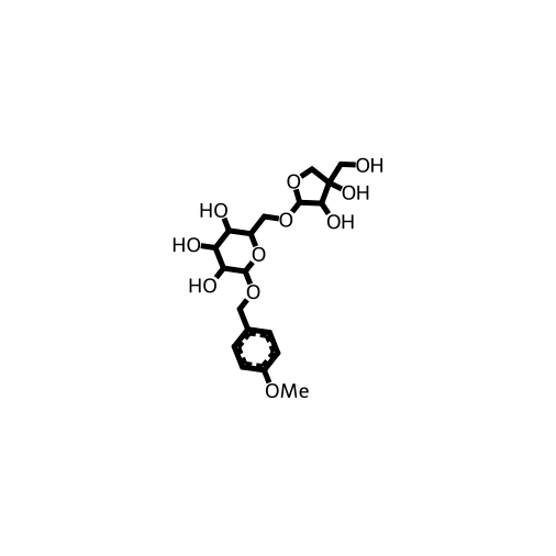 COc1ccc(COC2OC(COC3OCC(O)(CO)C3O)C(O)C(O)C2O)cc1